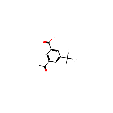 CC(=O)c1cc(C(=O)O)cc(C(C)(C)C)c1